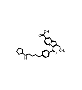 CCc1cc2cc(C(=O)O)ccn2c1C(=O)c1ccc(CCCCNC2CCCC2)cc1